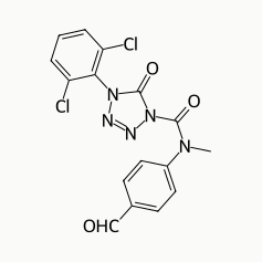 CN(C(=O)n1nnn(-c2c(Cl)cccc2Cl)c1=O)c1ccc(C=O)cc1